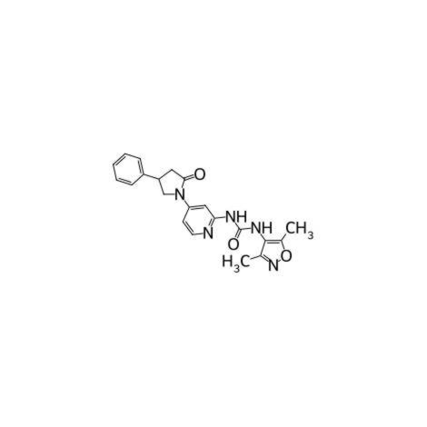 Cc1noc(C)c1NC(=O)Nc1cc(N2CC(c3ccccc3)CC2=O)ccn1